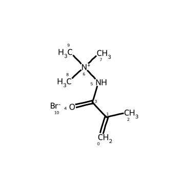 C=C(C)C(=O)N[N+](C)(C)C.[Br-]